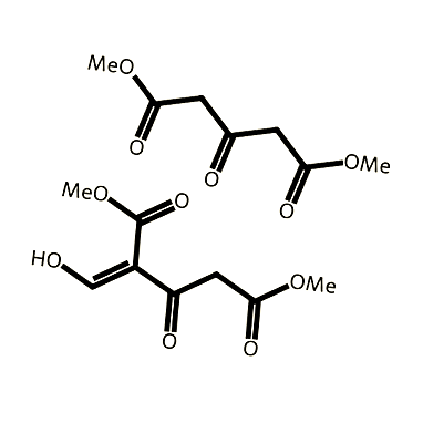 COC(=O)CC(=O)C(=CO)C(=O)OC.COC(=O)CC(=O)CC(=O)OC